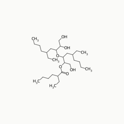 CCCCC(CC)CC(OC(CC(CC)CCCC)C(CO)OC(=O)C(CC)CCCC)C(O)CO